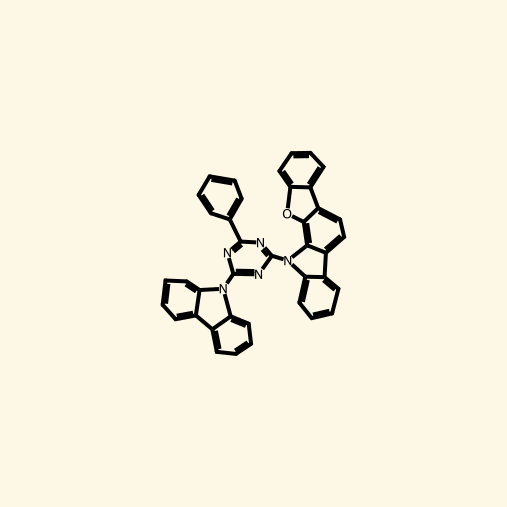 c1ccc(-c2nc(-n3c4ccccc4c4ccccc43)nc(-n3c4ccccc4c4ccc5c6ccccc6oc5c43)n2)cc1